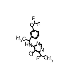 CC(F)c1ncnc(NC(C)c2cccc(OC(F)F)c2)c1Cl